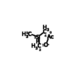 CC([O])=O.C[SiH](C)C